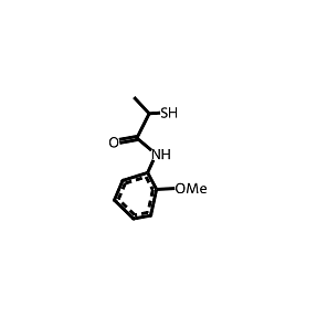 COc1ccccc1NC(=O)C(C)S